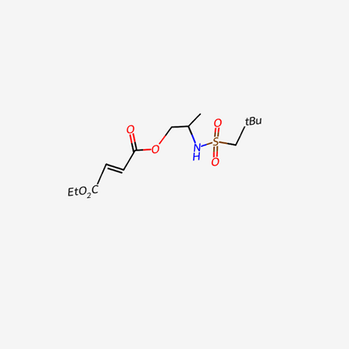 CCOC(=O)/C=C/C(=O)OCC(C)NS(=O)(=O)CC(C)(C)C